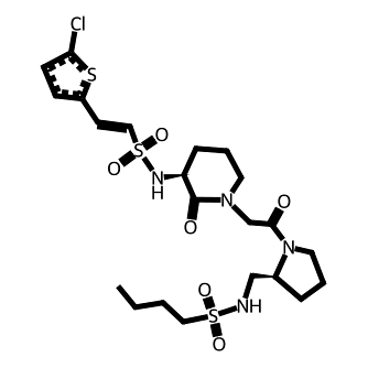 CCCCS(=O)(=O)NC[C@@H]1CCCN1C(=O)CN1CCC[C@H](NS(=O)(=O)/C=C/c2ccc(Cl)s2)C1=O